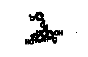 COc1cccc(CON=C2C[C@@H]3[C@H](CC[C@]4(C)[C@@H](O)CC[C@@H]34)c3cc(OC)c(O)cc32)c1